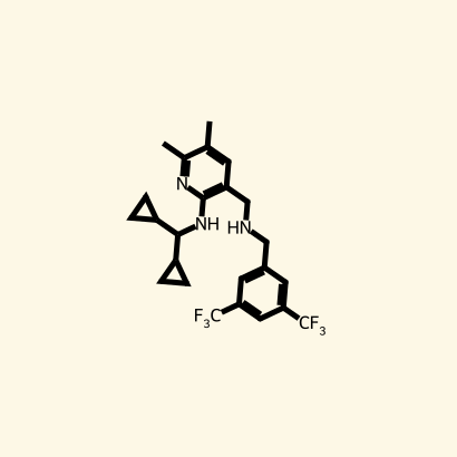 Cc1cc(CNCc2cc(C(F)(F)F)cc(C(F)(F)F)c2)c(NC(C2CC2)C2CC2)nc1C